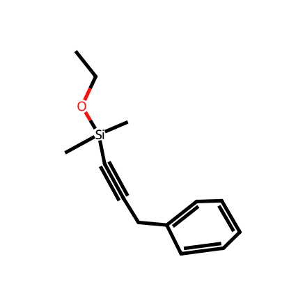 CCO[Si](C)(C)C#CCc1ccccc1